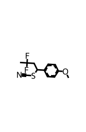 COc1ccc(C(CC(C)(F)F)SC#N)cc1